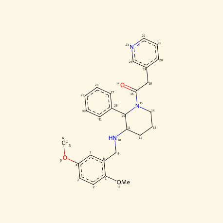 COc1ccc(OC(F)(F)F)cc1CNC1CCCN(C(=O)Cc2cccnc2)C1c1ccccc1